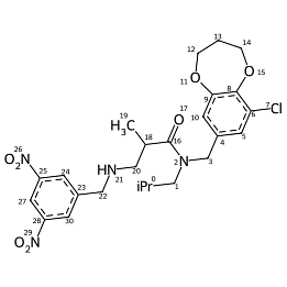 CC(C)CN(Cc1cc(Cl)c2c(c1)OCCCO2)C(=O)C(C)CNCc1cc([N+](=O)[O-])cc([N+](=O)[O-])c1